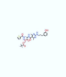 Cc1nc(NCCCc2cccc(O)c2)nc(C)c1C(=O)N[C@@H](CNC(=O)c1cccs1)C(=O)OCOC(=O)C(C)(C)C